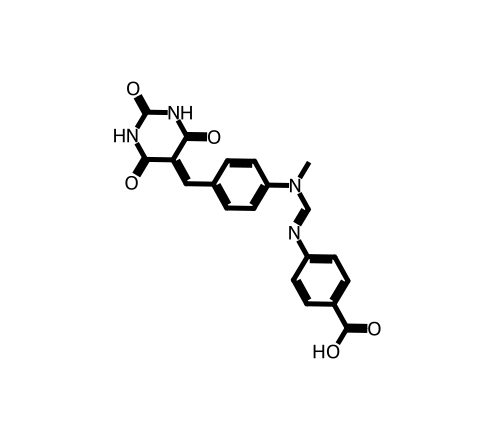 CN(C=Nc1ccc(C(=O)O)cc1)c1ccc(C=C2C(=O)NC(=O)NC2=O)cc1